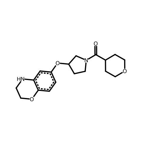 O=C(C1CCOCC1)N1CCC(Oc2ccc3c(c2)NCCO3)C1